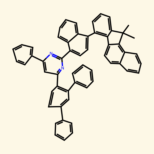 CC1(C)c2cccc(-c3ccc(-c4nc(-c5ccccc5)cc(-c5ccc(-c6ccccc6)cc5-c5ccccc5)n4)c4ccccc34)c2-c2ccc3ccccc3c21